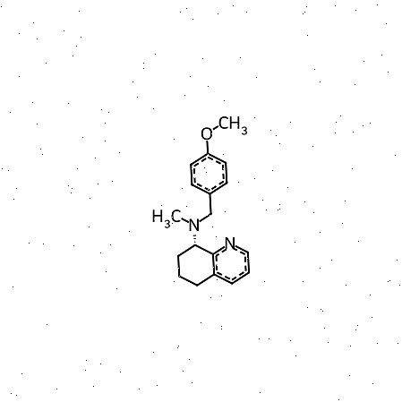 COc1ccc(CN(C)[C@H]2CCCc3cccnc32)cc1